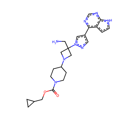 NCC1(n2cc(-c3ncnc4[nH]ccc34)cn2)CN(C2CCN(C(=O)OCC3CC3)CC2)C1